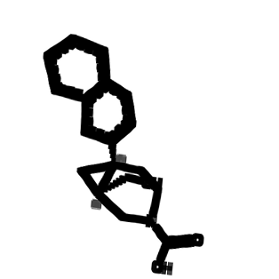 O=C(O)N1CC[C@]2(c3ccc4ccccc4c3)C[C@]2(CO)C1